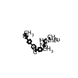 CCCCC(C)N1CCC(C(=O)Nc2cc(C(=O)N3CCC(c4ccc(-c5cnn(C)c5)cc4)CC3)ccc2C)C1